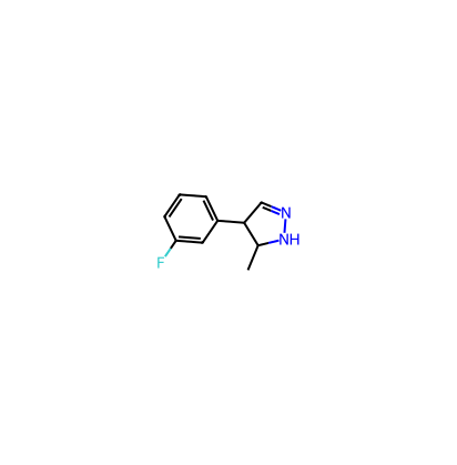 CC1NN=CC1c1cccc(F)c1